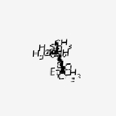 CCC(C)(C)C(=O)OCCC[SiH](O[SiH2]C)O[SiH2]C